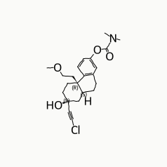 COCC[C@]12CC[C@@](O)(C#CCl)C[C@@H]1CCc1cc(OC(=O)N(C)C)ccc12